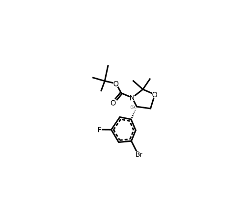 CC(C)(C)OC(=O)N1[C@@H](c2cc(F)cc(Br)c2)COC1(C)C